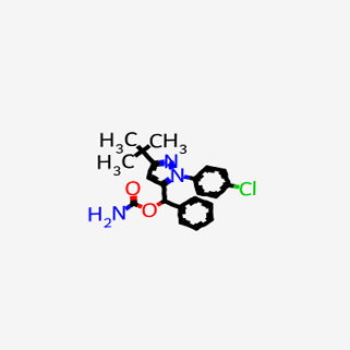 CC(C)(C)c1cc(C(OC(N)=O)c2ccccc2)n(-c2ccc(Cl)cc2)n1